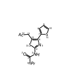 CCCC(=O)Nc1nc(-c2cccs2)c(CC(C)=O)s1